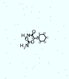 NC(=O)OC(C(N)=O)N1CCCCC1